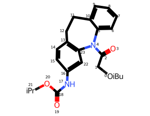 CC(C)COCC(=O)N1c2ccccc2CCc2ccc(NC(=O)OC(C)C)cc21